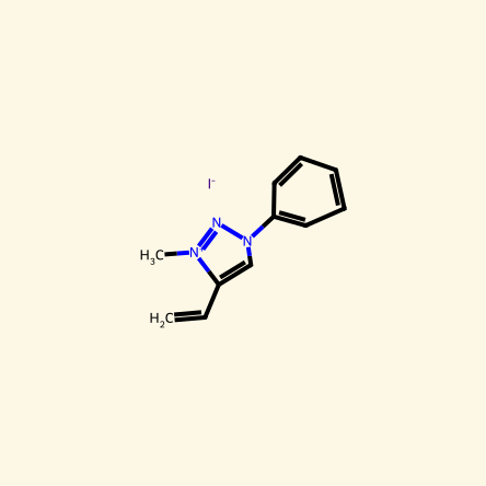 C=Cc1cn(-c2ccccc2)n[n+]1C.[I-]